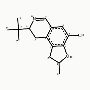 CC1Cc2c3c(cc(Cl)c2O1)C=NC(C(C)(C)C)C3